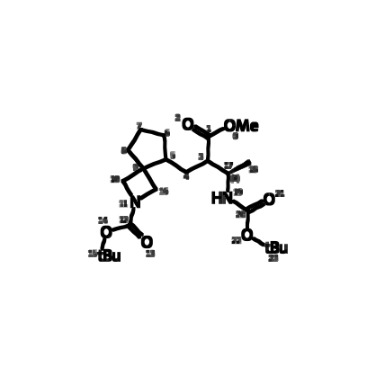 COC(=O)C(CC1CCCC12CN(C(=O)OC(C)(C)C)C2)[C@@H](C)NC(=O)OC(C)(C)C